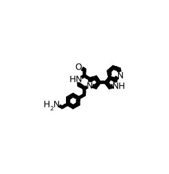 NCc1ccc(CC2=CNC(C=O)c3cc(-c4c[nH]c5ncccc45)cn32)cc1